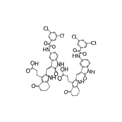 O=C(O)CCc1c(/C=C2\C(=O)Nc3ccc(NS(=O)(=O)c4cc(Cl)cc(Cl)c4)cc32)[nH]c2c1C(=O)CCC2.O=C(O)CCc1c(/C=C2\C(=O)Nc3ccc(NS(=O)(=O)c4cc(Cl)cc(Cl)c4)cc32)[nH]c2c1C(=O)CCC2